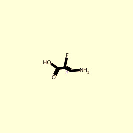 N/C=C(\F)C(=O)O